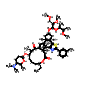 CC[C@H]1CCC[C@H](O[C@H]2CC[C@H](N(C)C)C(C)O2)[C@@H](C)C(=O)C2=C[C@H]3[C@@H]4C[C@H](OC(OC(C)[C@@H](C)OC)[C@H](COC)OC)C[C@H]4c4sc(-c5cccc(C)c5)nc4[C@H]3[C@@H]2CC(=O)O1